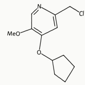 COc1cnc(CCl)cc1OC1CCCC1